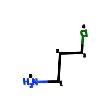 N[CH]CCCl